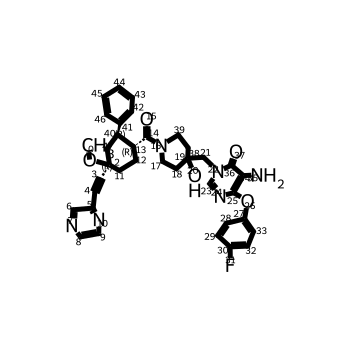 CO[C@]1(C#Cc2cnccn2)CC[C@@H](C(=O)N2CCC(O)(Cn3cnc(Oc4ccc(F)cc4)c(N)c3=O)CC2)[C@H](c2ccccc2)C1